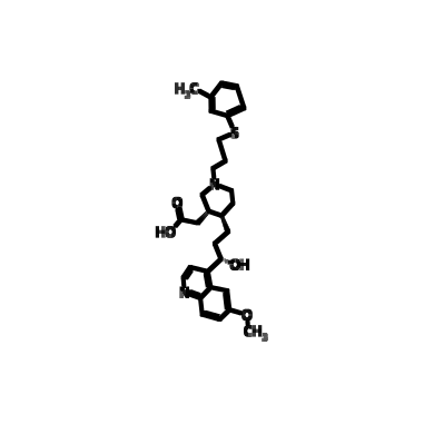 COc1ccc2nccc([C@@H](O)CC[C@@H]3CCN(CCCSc4cccc(C)c4)C[C@@H]3CC(=O)O)c2c1